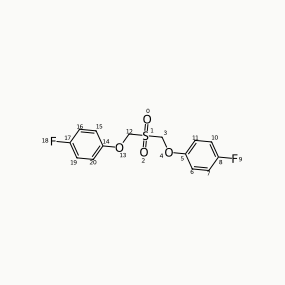 O=S(=O)(COc1ccc(F)cc1)COc1ccc(F)cc1